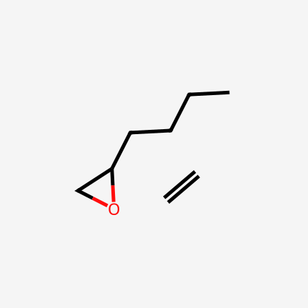 C=C.CCCCC1CO1